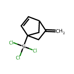 C=C1CC2([Si](Cl)(Cl)Cl)C=CC1C2